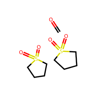 C=O.O=S1(=O)CCCC1.O=S1(=O)CCCC1